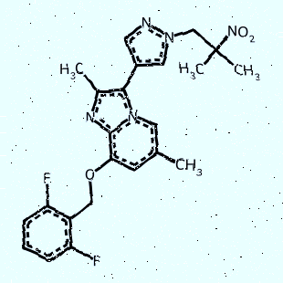 Cc1cc(OCc2c(F)cccc2F)c2nc(C)c(-c3cnn(CC(C)(C)[N+](=O)[O-])c3)n2c1